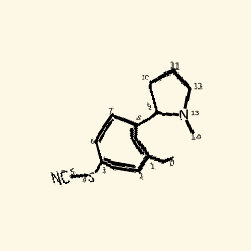 Cc1cc(SC#N)ccc1C1CCCN1C